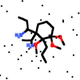 CCCC1(OC)C(C(C)N)(C(N)CC)CCC[Si]1(OC)OC